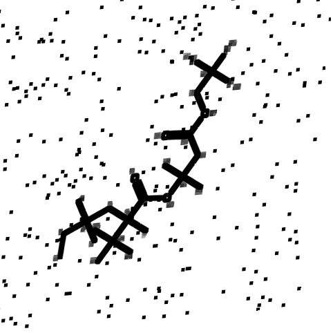 CCC(C)(C)CC(C)(C(=O)OC(C)(C)CC(=O)OCC(F)(F)F)C(C)(C)C